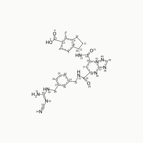 Cc1c(C(=O)O)ccc2c1CC[C@@H]2NC(=O)c1cc(C(=O)NCc2cccc(CNC(N)=NC#N)c2)nc2ncnn12